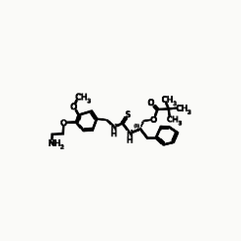 COc1cc(CNC(=S)N[C@H](COC(=O)C(C)(C)C)Cc2ccccc2)ccc1OCCN